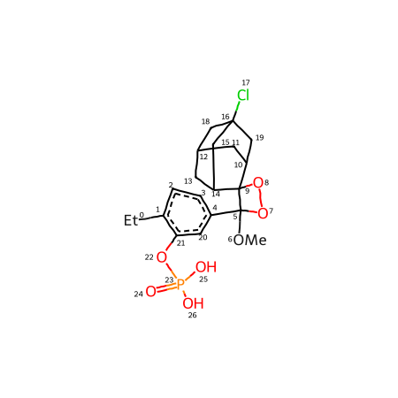 CCc1ccc(C2(OC)OOC23C2CC4CC3CC(Cl)(C4)C2)cc1OP(=O)(O)O